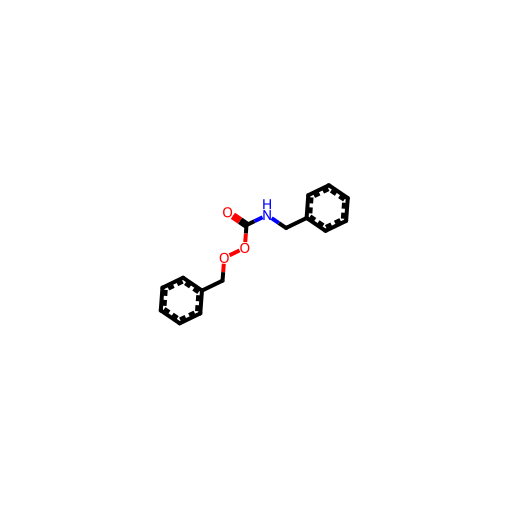 O=C(NCc1ccccc1)OOCc1ccccc1